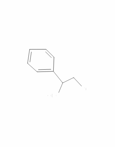 O=CC(CBr)c1ccccc1